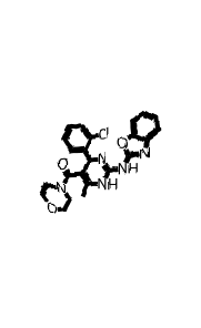 CC1=C(C(=O)N2CCOCC2)C(c2ccccc2Cl)N=C(Nc2nc3ccccc3o2)N1